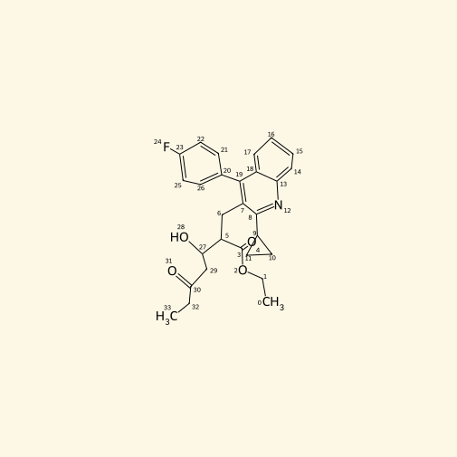 CCOC(=O)C(Cc1c(C2CC2)nc2ccccc2c1-c1ccc(F)cc1)C(O)CC(=O)CC